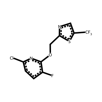 Fc1ccc(Cl)nc1OCc1ncc(C(F)(F)F)s1